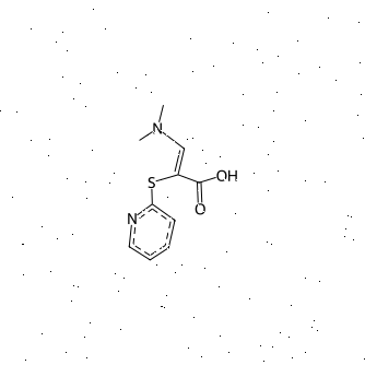 CN(C)/C=C(\Sc1ccccn1)C(=O)O